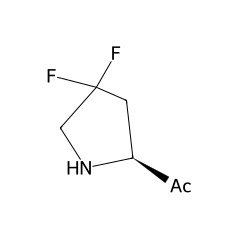 CC(=O)[C@@H]1CC(F)(F)CN1